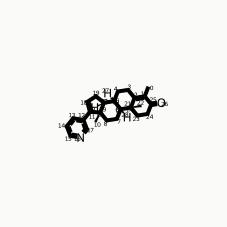 CC1=C2CC[C@@H]3[C@H](CC[C@]4(C)C(c5cccnc5)=CC[C@@H]34)[C@@]2(C)CCC1=O